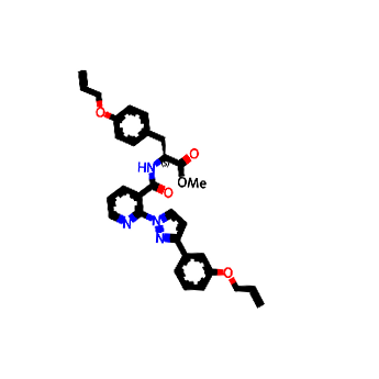 C=CCOc1ccc(C[C@H](NC(=O)c2cccnc2-n2ccc(-c3cccc(OCC=C)c3)n2)C(=O)OC)cc1